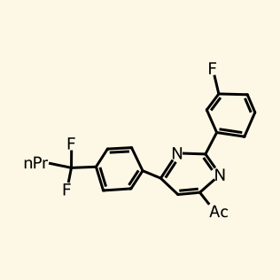 CCCC(F)(F)c1ccc(-c2cc(C(C)=O)nc(-c3cccc(F)c3)n2)cc1